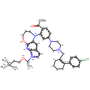 COC(=O)c1ccc(N2CCN(CC3=C(c4ccc(Cl)cc4)CCCC3)CC2)cc1N1CCCOc2nc3c(ccn3C(C)OCC[Si](C)(C)C)cc21